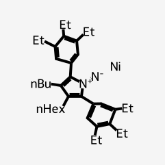 CCCCCCC1=C(c2cc(CC)c(CC)c(CC)c2)[N+](=[N-])C(c2cc(CC)c(CC)c(CC)c2)=C1CCCC.[Ni]